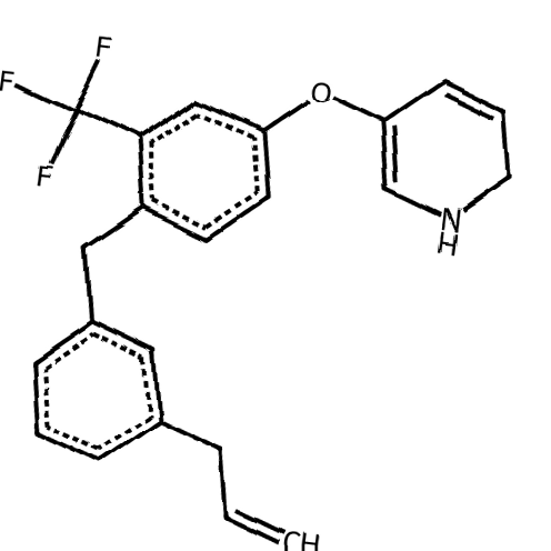 C=CCc1cccc(Cc2ccc(OC3=CNCC=C3)cc2C(F)(F)F)c1